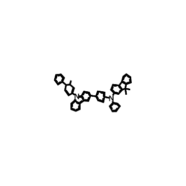 CC1C=C(n2c3ccccc3c3cc(-c4ccc(N(c5ccccc5)c5ccc6c(c5)C(C)(C)c5ccccc5-6)cc4)ccc32)C=CC1c1ccccc1